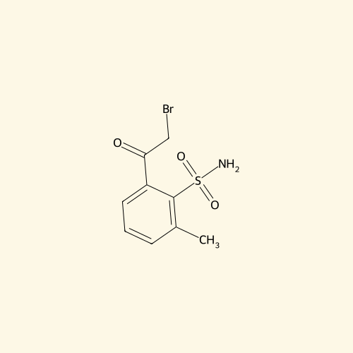 Cc1cccc(C(=O)CBr)c1S(N)(=O)=O